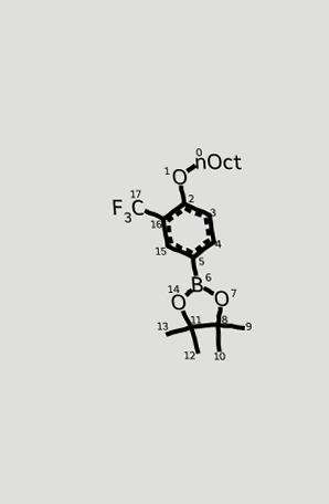 CCCCCCCCOc1ccc(B2OC(C)(C)C(C)(C)O2)cc1C(F)(F)F